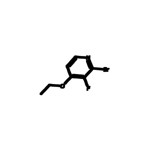 CCOc1ccnc(Br)c1F